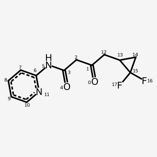 O=C(CC(=O)Nc1ccccn1)CC1CC1(F)F